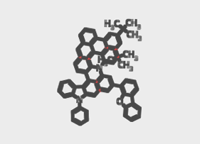 CC(C)(C)c1cc(-c2cccc3cccc(-c4ccccc4N(c4cccc(-c5cccc6c5oc5ccccc56)c4)c4ccccc4-c4cccc5c4c4ccccc4n5-c4ccccc4)c23)cc(C(C)(C)C)c1